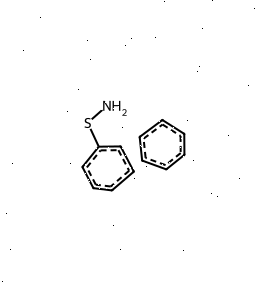 NSc1ccccc1.c1ccccc1